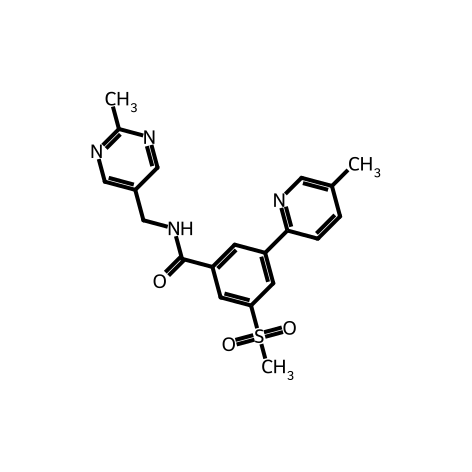 Cc1ccc(-c2cc(C(=O)NCc3cnc(C)nc3)cc(S(C)(=O)=O)c2)nc1